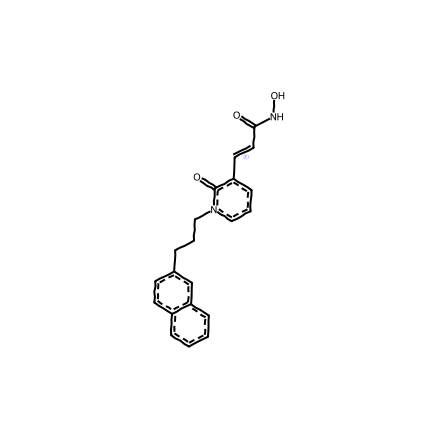 O=C(/C=C/c1cccn(CCCc2ccc3ccccc3c2)c1=O)NO